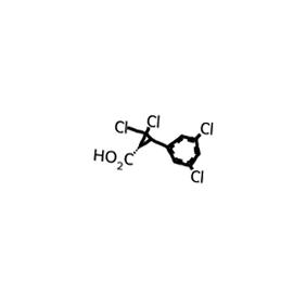 O=C(O)[C@H]1C(c2cc(Cl)cc(Cl)c2)C1(Cl)Cl